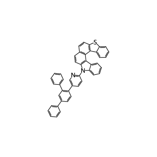 c1ccc(-c2ccc(-c3ccc(-n4c5ccccc5c5c6c(ccc7sc8ccccc8c76)ccc54)nc3)c(-c3ccccc3)c2)cc1